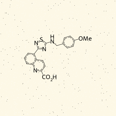 COc1ccc(CNc2nc(-c3cccc4nc(C(=O)O)ccc34)ns2)cc1